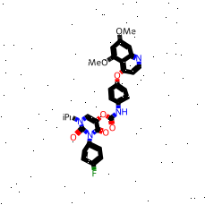 COc1cc(OC)c2c(Oc3ccc(NC(=O)Oc4cn(C(C)C)c(=O)n(-c5ccc(F)cc5)c4=O)cc3)ccnc2c1